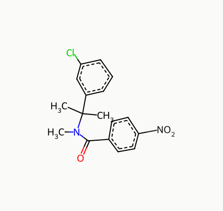 CN(C(=O)c1ccc([N+](=O)[O-])cc1)C(C)(C)c1cccc(Cl)c1